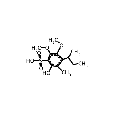 CCC(C)c1c(C)c(O)c(S(=O)(=O)O)c(OC)c1OC